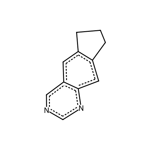 c1ncc2cc3c(cc2n1)CCC3